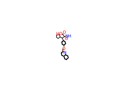 O=C(O)C1(C(c2ccc(OCc3ccc4ccccc4n3)cc2)C2CCCC2)NO1